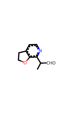 CC(C=O)c1nccc2c1OCC2